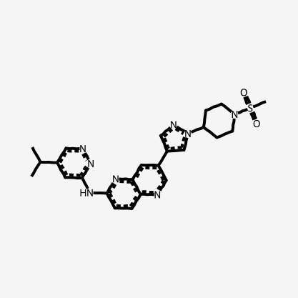 CC(C)c1cnnc(Nc2ccc3ncc(-c4cnn(C5CCN(S(C)(=O)=O)CC5)c4)cc3n2)c1